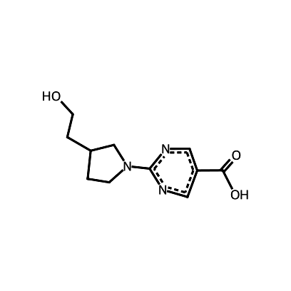 O=C(O)c1cnc(N2CCC(CCO)C2)nc1